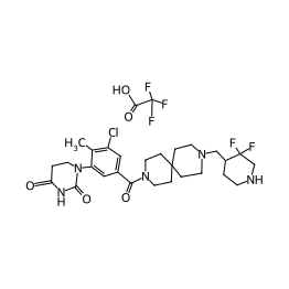 Cc1c(Cl)cc(C(=O)N2CCC3(CCN(CC4CCNCC4(F)F)CC3)CC2)cc1N1CCC(=O)NC1=O.O=C(O)C(F)(F)F